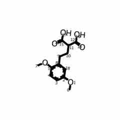 COc1ccc(OC)c(CCC(C(=O)O)C(=O)O)c1